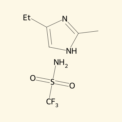 CCc1c[nH]c(C)n1.NS(=O)(=O)C(F)(F)F